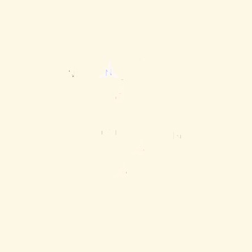 CC(C)(C)c1cc(C=C2Sc3ccccc3N(CC#N)C2=O)cc(C(C)(C)C)c1OCOCc1ccccc1